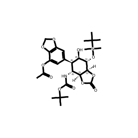 CC(=O)Oc1cc([C@H]2[C@@H](O)[C@H](O[Si](C)(C)C(C)(C)C)[C@H]3OC(=O)O[C@H]3[C@@H]2NC(=O)OC(C)(C)C)cc2c1OCO2